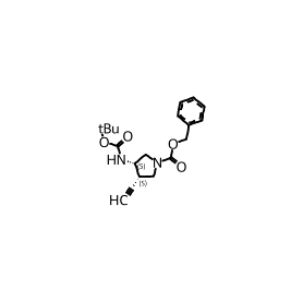 C#C[C@H]1CN(C(=O)OCc2ccccc2)C[C@H]1NC(=O)OC(C)(C)C